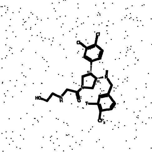 CN(Cc1ccc(C(F)(F)F)c(F)c1)[C@@H]1CN(C(=O)CNCCO)C[C@@H]1c1ccc(Cl)c(Cl)c1